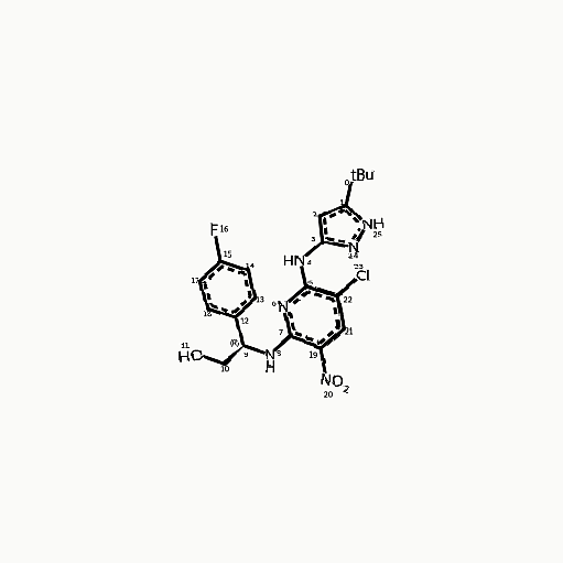 CC(C)(C)c1cc(Nc2nc(N[C@@H](CO)c3ccc(F)cc3)c([N+](=O)[O-])cc2Cl)n[nH]1